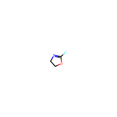 FC1=NCCO1